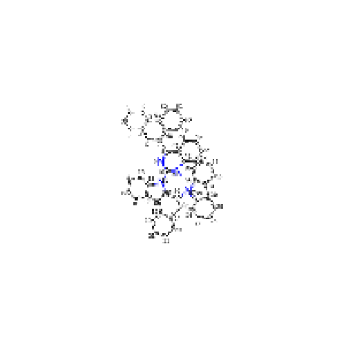 c1ccc2c(c1)cc(-c1nc(-n3c4ccccc4c4c5ccccc5c5c6cccc7c8ccccc8n(c76)c5c43)nc3ccccc13)c1ccccc12